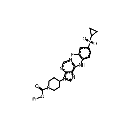 CC(C)OC(=O)N1CCC(n2cnc3c(Nc4ccc(S(=O)(=O)C5CC5)cc4F)ncnc32)CC1